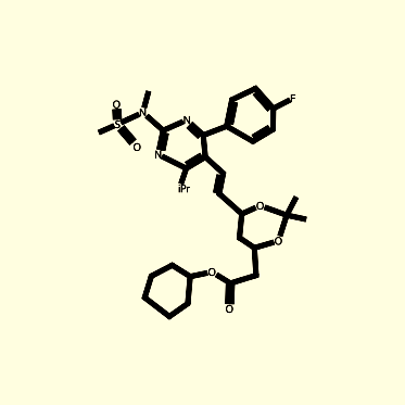 CC(C)c1nc(N(C)S(C)(=O)=O)nc(-c2ccc(F)cc2)c1C=CC1CC(CC(=O)OC2CCCCC2)OC(C)(C)O1